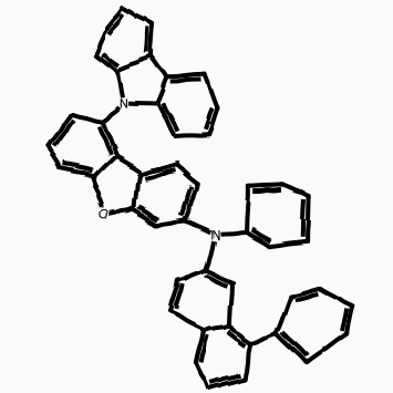 c1ccc(-c2cccc3ccc(N(c4ccccc4)c4ccc5c(c4)oc4cccc(-n6c7ccccc7c7ccccc76)c45)cc23)cc1